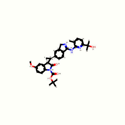 COc1ccc2c(c1)[C@]1(C[C@H]1c1ccc3c(c1)CN=C3Nc1nc(C(C)(C)O)ccc1C)C(=O)N2C(=O)OC(C)(C)C